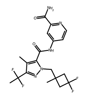 Cc1c(C(C)(F)F)nn(CC2(C)CC(F)(F)C2)c1C(=O)Nc1ccnc(C(N)=O)c1